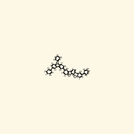 C1=CC2Oc3c(ccc4c3oc3ccc(-c5ccc6c(c5)c5cc(-c7ccccc7)ccc5n6-c5ccccc5)cc34)C2C=C1c1ccccc1